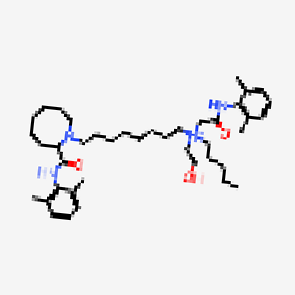 CCCCC[N+](CCO)(CCCCCCCCN1CCCCCCC1C(=O)Nc1c(C)cccc1C)CC(=O)Nc1c(C)cccc1C